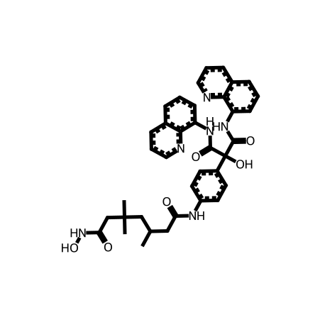 CC(CC(=O)Nc1ccc(C(O)(C(=O)Nc2cccc3cccnc23)C(=O)Nc2cccc3cccnc23)cc1)CC(C)(C)CC(=O)NO